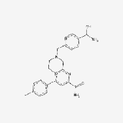 NC(=O)c1cc(-c2ccc(F)cc2)c2c(n1)CN(Cc1ccc(C(N)O)cc1)CC2